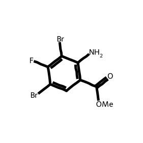 COC(=O)c1cc(Br)c(F)c(Br)c1N